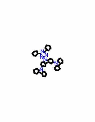 c1ccc(-c2nc(-c3ccccc3)nc(-n3c4ccc(-n5c6ccccc6c6ccccc65)cc4c4cc(-n5c6ccccc6c6ccccc65)ccc43)n2)cc1